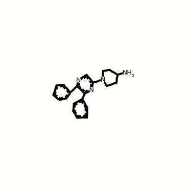 NC1CCN(c2cnc(-c3ccccc3)c(-c3ccccc3)n2)CC1